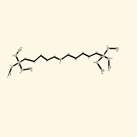 CCO[Si](CCCCCSCCCCC[Si](OCC)(OCC)OCC)(OCC)OCC